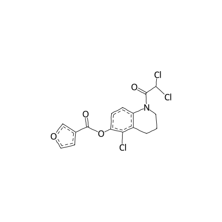 O=C(Oc1ccc2c(c1Cl)CCCN2C(=O)C(Cl)Cl)c1ccoc1